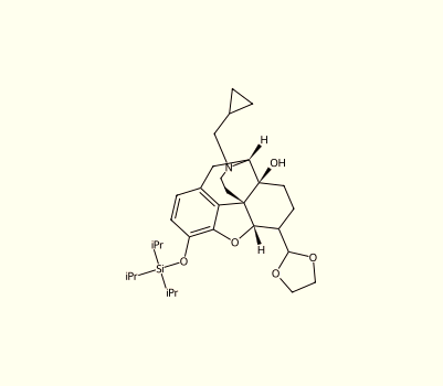 CC(C)[Si](Oc1ccc2c3c1O[C@H]1C(C4OCCO4)CC[C@@]4(O)[C@@H](C2)N(CC2CC2)CC[C@]314)(C(C)C)C(C)C